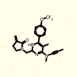 C=C1CCN(CC2N=C(N(C)C#CC)C(C)=C(c3ccc(OC(F)(F)F)cc3)N2)C1=O